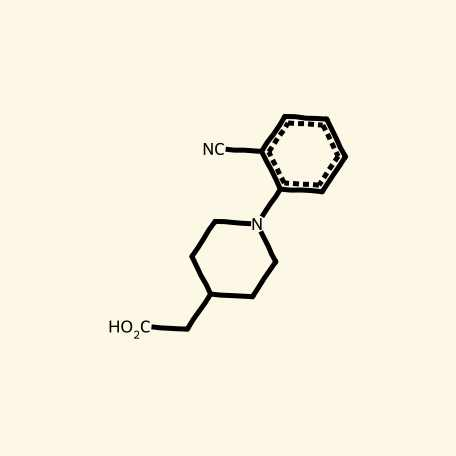 N#Cc1ccccc1N1CCC(CC(=O)O)CC1